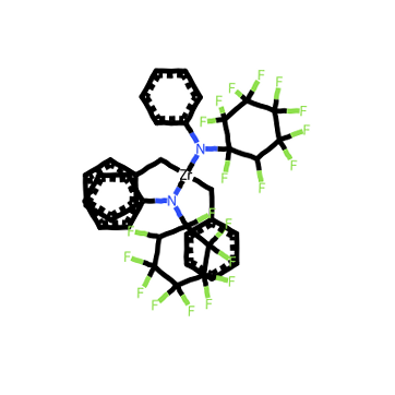 FC1C(F)(F)C(F)(F)C(F)(F)C(F)(F)C1(F)[N](c1ccccc1)[Zr]([CH2]c1ccccc1)([CH2]c1ccccc1)[N](c1ccccc1)C1(F)C(F)C(F)(F)C(F)(F)C(F)(F)C1(F)F